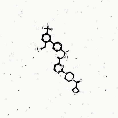 C[C@@H](NC(=O)c1ccnc(N2CCN(C(=O)C3COC3)CC2)n1)c1ccc(-c2cc(C(F)(F)F)ccc2CN)cc1